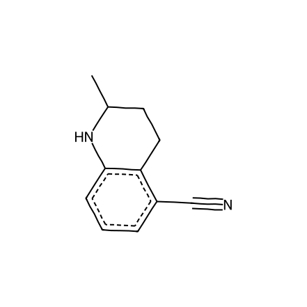 CC1CCc2c(C#N)cccc2N1